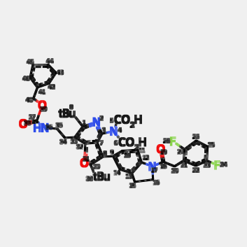 CC(C)(C)c1nc(N(C(=O)O)C(=O)O)c2c(-c3ccc4c(c3)CCN4C(=O)Cc3cc(F)ccc3F)c(C(C)(C)C)oc2c1CCNC(=O)OCc1ccccc1